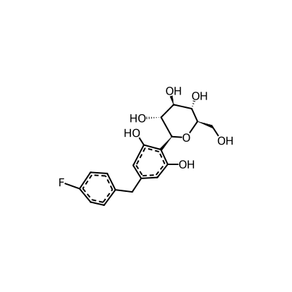 OC[C@H]1O[C@@H](c2c(O)cc(Cc3ccc(F)cc3)cc2O)[C@H](O)[C@@H](O)[C@@H]1O